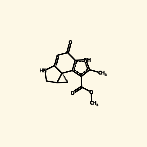 COC(=O)c1c(C)[nH]c2c1[C@@]13CC1CNC3=CC2=O